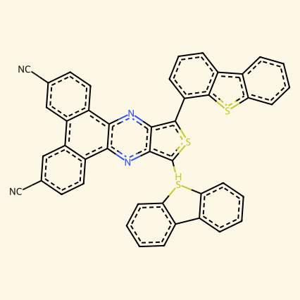 N#Cc1ccc2c(c1)c1cc(C#N)ccc1c1nc3c([SH]4c5ccccc5-c5ccccc54)sc(-c4cccc5c4sc4ccccc45)c3nc21